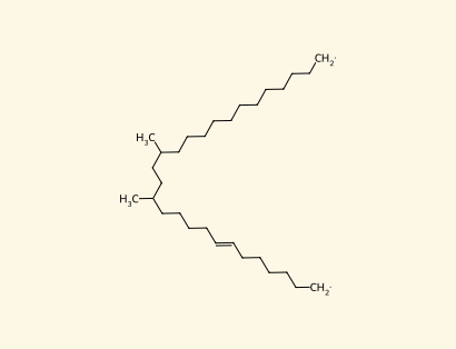 [CH2]CCCCCC=CCCCCC(C)CCC(C)CCCCCCCCCCC[CH2]